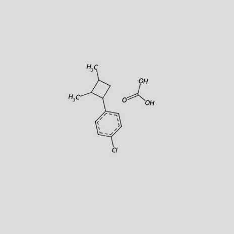 CC1CC(c2ccc(Cl)cc2)C1C.O=C(O)O